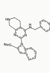 COc1cc2ccccc2n1-c1nc2c(c(NCc3ccccc3)n1)CCNC2